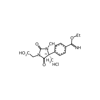 CCOC(=N)c1ccc([C@@]2(C)C(=O)N(CC(=O)O)C(=O)N2C)cc1.Cl